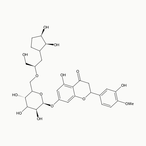 COc1ccc(C2CC(=O)c3c(O)cc(O[C@@H]4OC(CO[C@@H](CO)CC5CC[C@@H](O)[C@H]5O)[C@@H](O)C(O)[C@@H]4O)cc3O2)cc1O